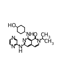 CC(C)n1ccc2cc(Nc3cnccn3)nc(N[C@H]3CC[C@H](O)CC3)c2c1=O